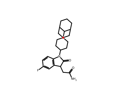 NC(=O)CC1C(=O)N(C2CCN(C3C4CCCC3CCC4)CC2)c2ccc(F)cc21